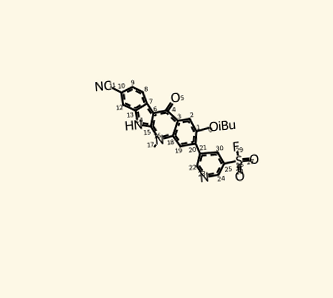 CC(C)COc1cc2c(=O)c3c4ccc(C#N)cc4[nH]c3n(C)c2cc1-c1cncc(S(=O)(=O)F)c1